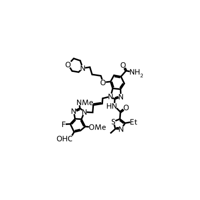 CCc1nc(C)sc1C(=O)Nc1nc2cc(C(N)=O)cc(OCCCN3CCOCC3)c2n1C/C=C/Cn1c(NC)nc2c(F)c(C=O)cc(OC)c21